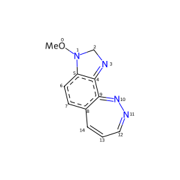 CON1CN=c2c1ccc1c2=NN=CC=C1